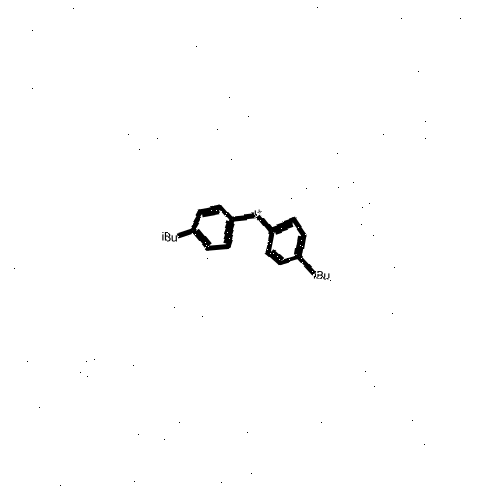 CCC(C)c1ccc([I+]c2ccc(C(C)CC)cc2)cc1